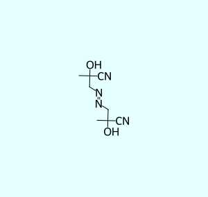 CC(O)(C#N)CN=NCC(C)(O)C#N